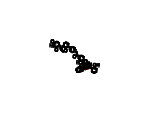 Nc1nnc(-c2ccccc2O)cc1N1CC2CCC(C1)N2c1cccc(OC2CCN(C(=O)CN3CCN(c4cccc5c4OCCN5[C@@H]4CCC(=O)NC4=O)CC3)CC2)c1